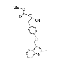 Cc1cc(COc2ccc(C[C@]3(C#N)C[C@@H]3C(=O)OC(C)(C)C)cc2)c2ccccc2n1